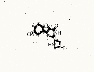 O=c1[nH]c([C@@H]2C[C@@H](F)CN2)nc2c1oc1ccc(Cl)cc12